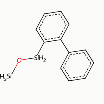 [SiH3]O[SiH2]c1ccccc1-c1ccccc1